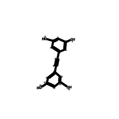 Oc1cc(O)cc(C#Cc2cc(O)cc(O)c2)c1